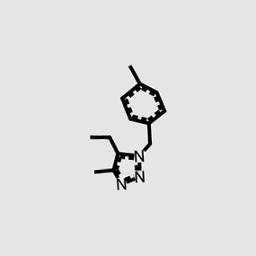 CCc1c(C)nnn1Cc1ccc(C)cc1